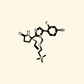 C=CC[C@@]1(c2ncc(-c3ccc(Br)cc3F)n2COCC[Si](C)(C)C)CCC(=O)N1